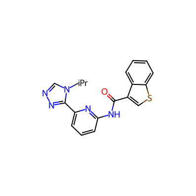 CC(C)n1cnnc1-c1cccc(NC(=O)c2csc3ccccc23)n1